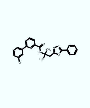 CC(C)(Cc1nnc(-c2ccccc2)o1)NC(=O)c1cccc(-c2cccc(Cl)c2)n1